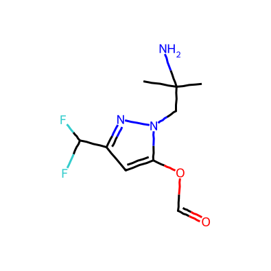 CC(C)(N)Cn1nc(C(F)F)cc1OC=O